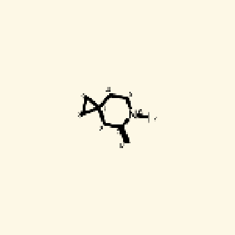 C=C1CC2(CCN1I)CC2